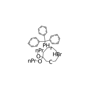 Br.CCCOC1(OCCC)CCCCCCCC1.PC(c1ccccc1)(c1ccccc1)c1ccccc1